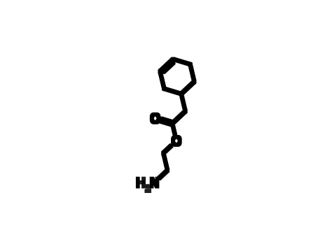 NCCOC(=O)CC1CC=CCC1